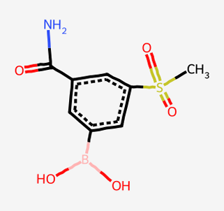 CS(=O)(=O)c1cc(B(O)O)cc(C(N)=O)c1